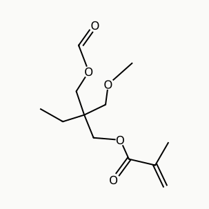 C=C(C)C(=O)OCC(CC)(COC)COC=O